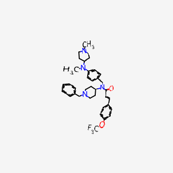 CN1CCC(N(C)c2ccc(CN(C(=O)C=Cc3ccc(OC(F)(F)F)cc3)C3CCN(Cc4ccccc4)CC3)cc2)CC1